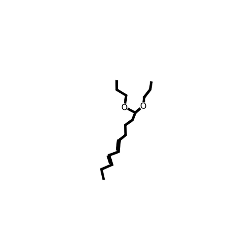 CCC=CC=CCCCC(OCCC)OCCC